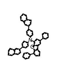 c1ccc(-c2cc(N(c3ccc(-c4ccc5ccccc5c4)cc3)c3ccc(-c4ccc5ccccc5c4)cc3)c3oc4c(-c5ccccc5)cccc4c3c2)cc1